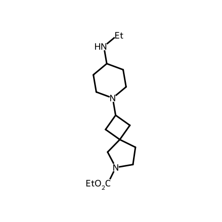 CCNC1CCN(C2CC3(CCN(C(=O)OCC)C3)C2)CC1